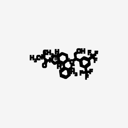 Cc1ccccc1[C@H]1[C@@H]2CN(C(=O)N(C)C)C[C@H]2CC[C@@H]1OC(CO)c1cc(C(F)(F)F)cc(C(F)(F)F)c1